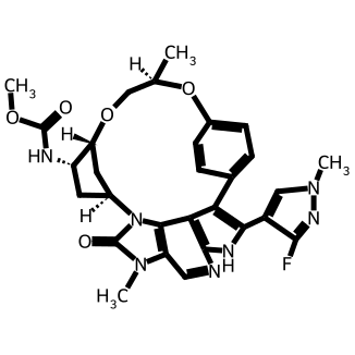 COC(=O)N[C@H]1C[C@H]2C[C@H]1OC[C@@H](C)Oc1ccc(cc1)-c1c(-c3cn(C)nc3F)[nH]c3ncc4c(c13)n2c(=O)n4C